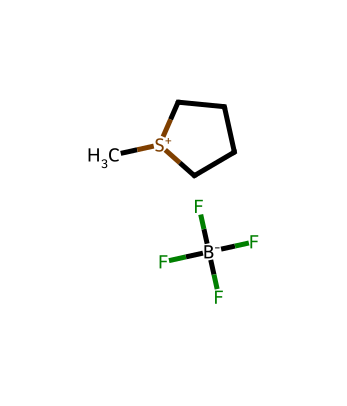 C[S+]1CCCC1.F[B-](F)(F)F